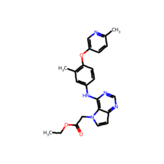 CCOC(=O)Cn1ccc2ncnc(Nc3ccc(Oc4ccc(C)nc4)c(C)c3)c21